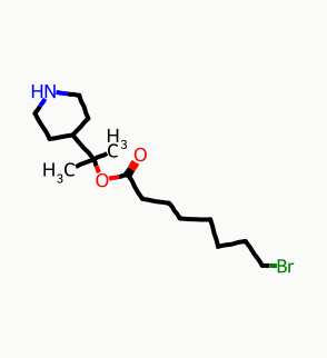 CC(C)(OC(=O)CCCCCCCBr)C1CCNCC1